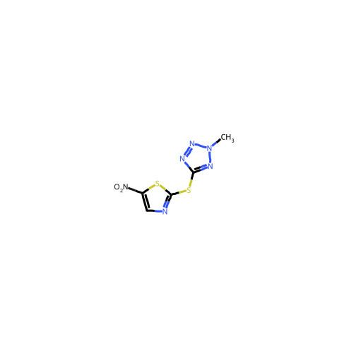 Cn1nnc(Sc2ncc([N+](=O)[O-])s2)n1